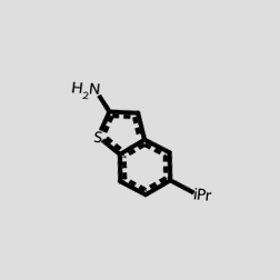 CC(C)c1ccc2sc(N)cc2c1